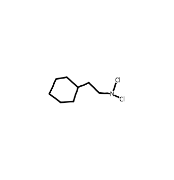 ClN(Cl)CCC1CCCCC1